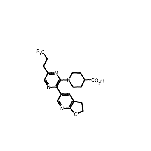 O=C(O)C1CCN(c2nc(CCC(F)(F)F)cnc2-c2cnc3c(c2)CCO3)CC1